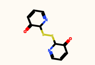 O=C1C=CC=NC1SSC1N=CC=CC1=O